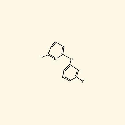 [CH2]c1cccc(Oc2cccc(F)c2)n1